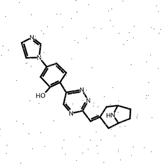 Oc1cc(-n2ccnc2)ccc1-c1cnc(C=C2CC3CCC(C2)N3)nn1